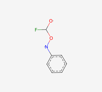 [O]C(F)O[N]c1ccccc1